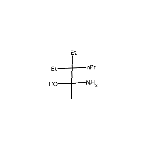 CCCC(CC)(CC)C(C)(N)O